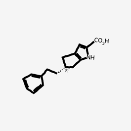 O=C(O)c1cc2c([nH]1)C[C@H](CCc1ccccc1)C2